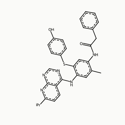 Cc1cc(Nc2ncnc3nc(C(C)C)ccc23)c(Sc2ccc(O)cc2)cc1NC(=O)Cc1ccccc1